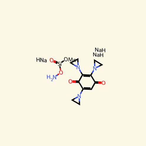 CO[Si](=O)ON.O=C1C=C(N2CC2)C(=O)C(N2CC2)=C1N1CC1.[NaH].[NaH].[NaH]